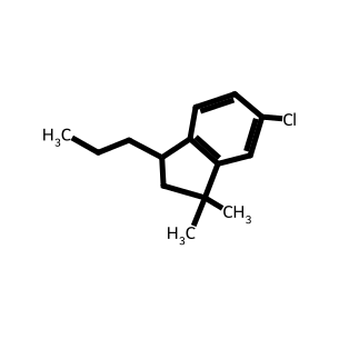 CCCC1CC(C)(C)c2cc(Cl)ccc21